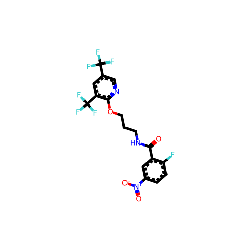 O=C(NCCCOc1ncc(C(F)(F)F)cc1C(F)(F)F)c1cc([N+](=O)[O-])ccc1F